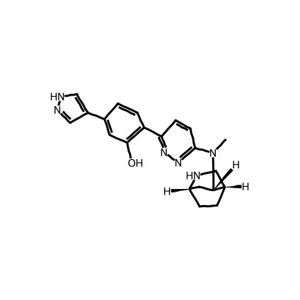 CN(c1ccc(-c2ccc(-c3cn[nH]c3)cc2O)nn1)[C@H]1C[C@@H]2CC[C@H]1CN2